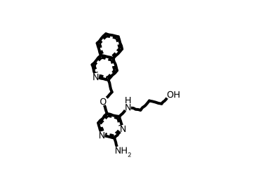 Nc1ncc(OCc2cc3ccccc3cn2)c(NCCCO)n1